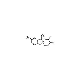 C=C1CCC2(Cc3ccc(Br)cc3C2=O)CC1C